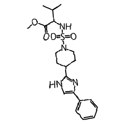 COC(=O)C(NS(=O)(=O)N1CCC(c2nc(-c3ccccc3)c[nH]2)CC1)C(C)C